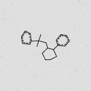 CC(C)(CC1CCCC[C]1c1ccccc1)c1ccccc1